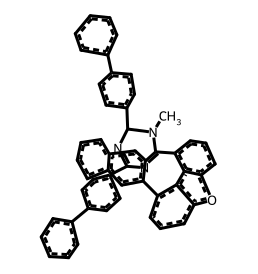 CN1C(c2cccc3oc4cccc(-c5ccc6ccccc6c5)c4c23)=NC(c2ccc(-c3ccccc3)cc2)=NC1c1ccc(-c2ccccc2)cc1